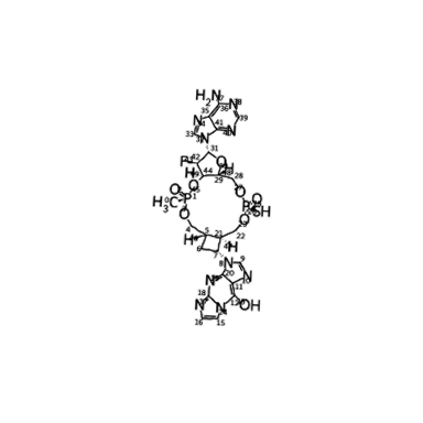 C[P@]1(=O)OC[C@H]2C[C@@H](n3cnc4c(O)n5ccnc5nc43)[C@@H]2CO[P@@](=O)(S)OC[C@H]2O[C@@H](n3cnc4c(N)ncnc43)[C@H](F)[C@@H]2O1